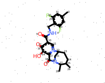 Cc1cc(F)c(CNC(=O)c2cn3c(c(O)c2=O)C(=O)N2CC3CCC(C)C2C)c(F)c1